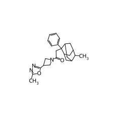 Cc1nnc(C2CN(C(=O)CC3(c4ccccc4)C4CC5CC3CC(C4)C5C)C2)o1